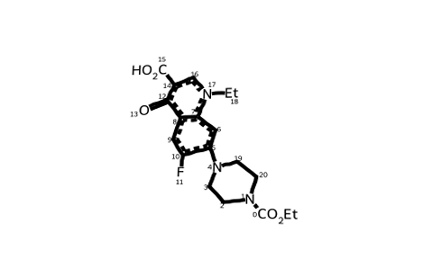 CCOC(=O)N1CCN(c2cc3c(cc2F)c(=O)c(C(=O)O)cn3CC)CC1